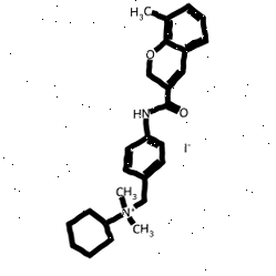 Cc1cccc2c1OCC(C(=O)Nc1ccc(C[N+](C)(C)C3CCCCC3)cc1)=C2.[I-]